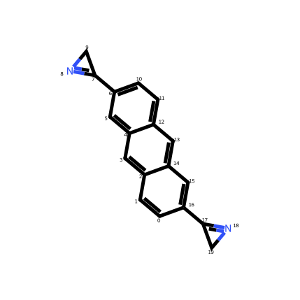 c1cc2cc3cc(C4=NC4)ccc3cc2cc1C1=NC1